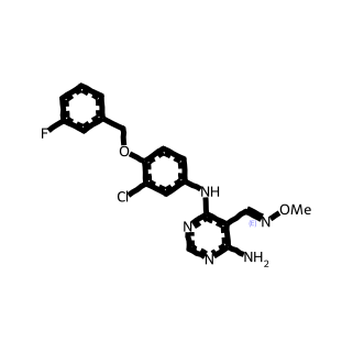 CO/N=C/c1c(N)ncnc1Nc1ccc(OCc2cccc(F)c2)c(Cl)c1